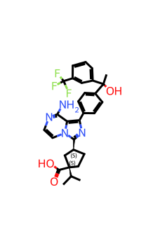 CC(C)[C@]1(C(=O)O)CC[C@H](c2nc(-c3ccc(C(C)(O)c4cccc(C(F)(F)F)c4)cc3)c3c(N)nccn23)C1